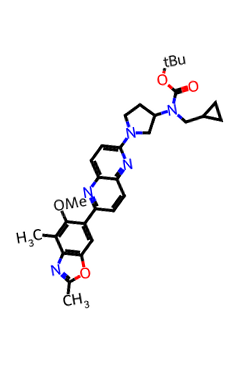 COc1c(-c2ccc3nc(N4CCC(N(CC5CC5)C(=O)OC(C)(C)C)C4)ccc3n2)cc2oc(C)nc2c1C